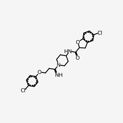 N=C(CCOc1ccc(Cl)cc1)N1CCC(NC(=O)C2Cc3cc(Cl)ccc3O2)CC1